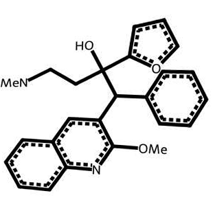 CNCCC(O)(c1ccco1)C(c1ccccc1)c1cc2ccccc2nc1OC